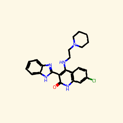 O=c1[nH]c2cc(Cl)ccc2c(NCCN2CCCCC2)c1-c1nc2ccccc2[nH]1